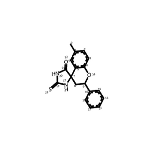 Cc1ccc2c(c1)C1(CC(c3ccccc3)O2)NC(=S)NC1=O